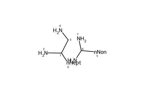 CCCCCCCC(N)CN.CCCCCCCCCC(N)N